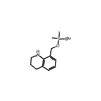 CC(C)(C)[Si](C)(C)OCc1cccc2c1NCCC2